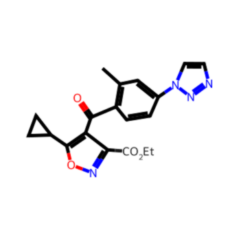 CCOC(=O)c1noc(C2CC2)c1C(=O)c1ccc(-n2ccnn2)cc1C